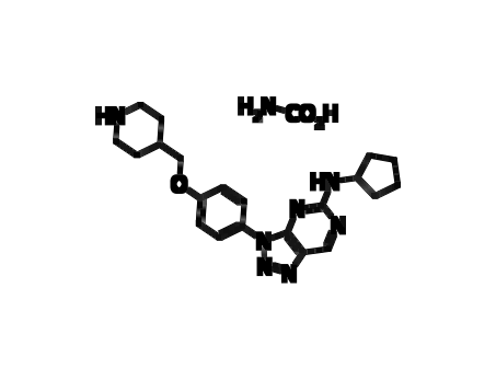 NC(=O)O.c1cc(-n2nnc3cnc(NC4CCCC4)nc32)ccc1OCC1CCNCC1